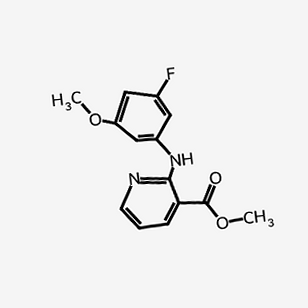 COC(=O)c1cccnc1Nc1cc(F)cc(OC)c1